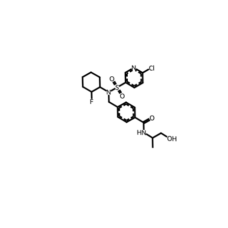 CC(CO)NC(=O)c1ccc(CN(C2CCCCC2F)S(=O)(=O)c2ccc(Cl)nc2)cc1